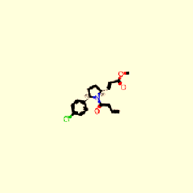 C=CCC(=O)N1[C@@H](C=CC(=O)OC)CC[C@H]1c1ccc(Cl)cc1